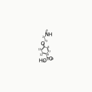 CNCCOc1ccc(C(=O)O)cc1